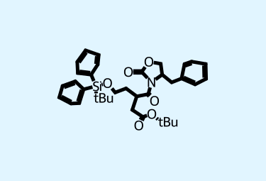 CC(C)(C)OC(=O)CC(CCO[Si](c1ccccc1)(c1ccccc1)C(C)(C)C)C(=O)N1C(=O)OCC1Cc1ccccc1